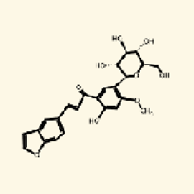 COc1cc(O)c(C(=O)C=Cc2ccc3occc3c2)cc1[C@@H]1O[C@H](CO)[C@@H](O)[C@H](O)[C@H]1O